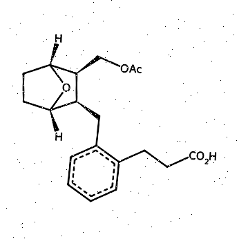 CC(=O)OC[C@H]1[C@@H](Cc2ccccc2CCC(=O)O)[C@@H]2CC[C@H]1O2